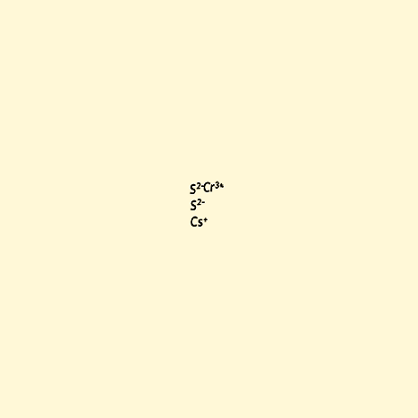 [Cr+3].[Cs+].[S-2].[S-2]